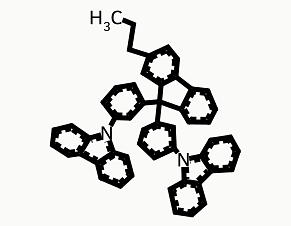 CCCc1ccc2c(c1)C(c1cccc(-n3c4ccccc4c4ccccc43)c1)(c1cccc(-n3c4ccccc4c4ccccc43)c1)c1ccccc1-2